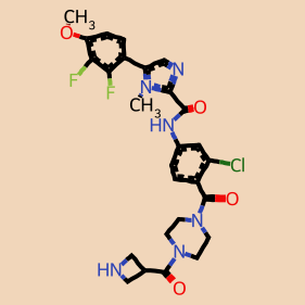 COc1ccc(-c2cnc(C(=O)Nc3ccc(C(=O)N4CCN(C(=O)C5CNC5)CC4)c(Cl)c3)n2C)c(F)c1F